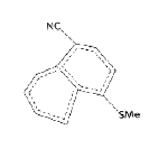 CSc1ccc(C#N)c2ccccc12